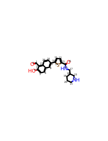 O=Cc1c(O)ccc2cc(-c3ccc(C(=O)NCC4CCCNC4)s3)ccc12